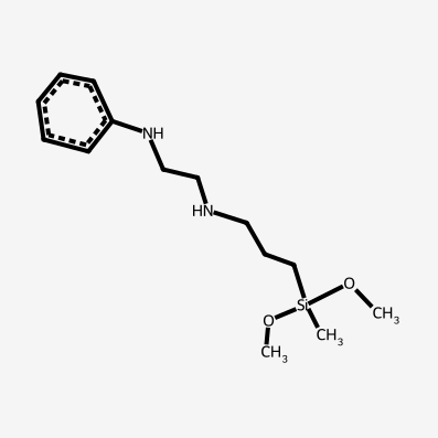 CO[Si](C)(CCCNCCNc1ccccc1)OC